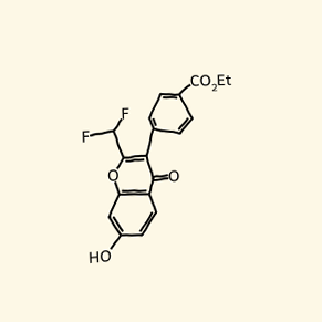 CCOC(=O)c1ccc(-c2c(C(F)F)oc3cc(O)ccc3c2=O)cc1